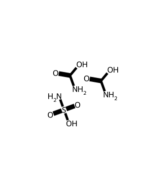 NC(=O)O.NC(=O)O.NS(=O)(=O)O